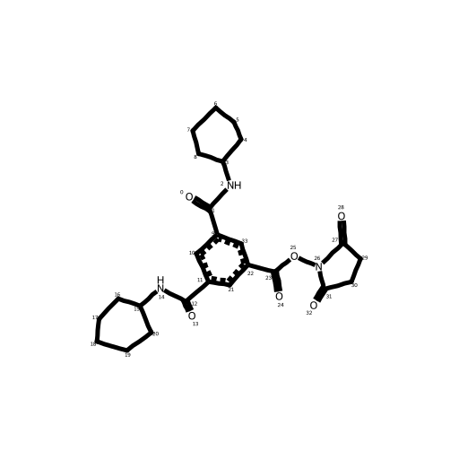 O=C(NC1CCCCC1)c1cc(C(=O)NC2CCCCC2)cc(C(=O)ON2C(=O)CCC2=O)c1